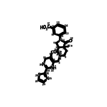 CCOC(=O)C1=C(CN2CCC3(F)C(=O)N(c4cccc(C(=O)O)c4)CC3C2)NC(c2nccs2)=NC1